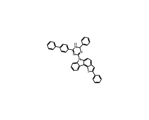 c1ccc(-c2ccc(C3=NC(n4c5ccccc5c5c6sc(-c7ccccc7)cc6ccc54)=NC(c4ccccc4)N3)cc2)cc1